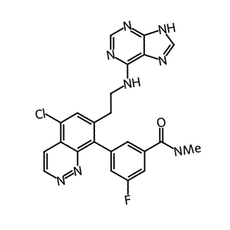 CNC(=O)c1cc(F)cc(-c2c(CCNc3ncnc4[nH]cnc34)cc(Cl)c3ccnnc23)c1